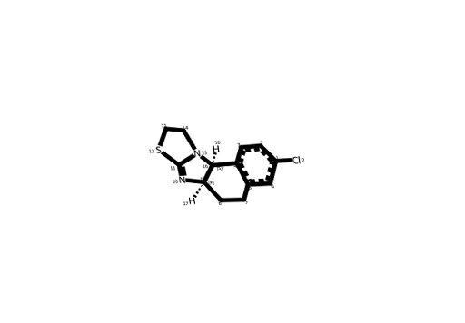 Clc1ccc2c(c1)CC[C@H]1N=C3SCCN3[C@@H]21